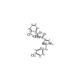 Cn1cc(C(=O)NS(=O)(=O)c2ccccc2Cl)nc1Cc1ccc(Cl)cc1